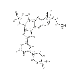 Cc1cc(-c2cnn(-c3ccc(NS(=O)(=O)CCO)cc3N3CCC(C)(F)CC3)c2)nc(N2CCC(F)(F)CC2)n1